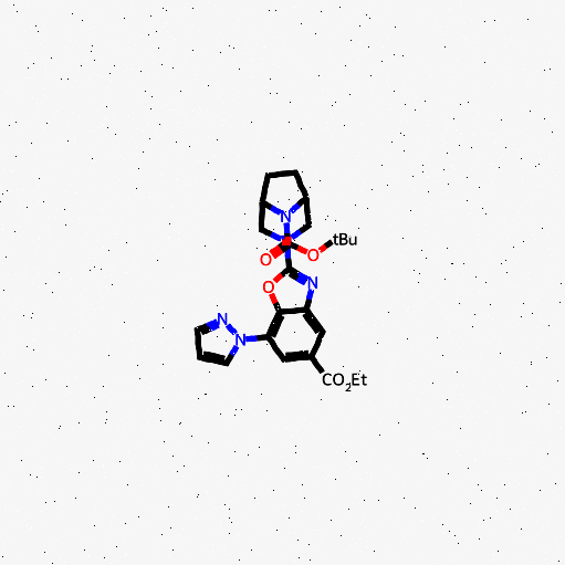 CCOC(=O)c1cc(-n2cccn2)c2oc(N3CC4CCC(C3)N4C(=O)OC(C)(C)C)nc2c1